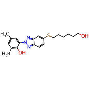 Bc1cc(C)cc(-n2nc3ccc(SCCCCCCO)cc3n2)c1O